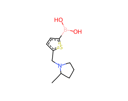 CC1CCCN1Cc1ccc(B(O)O)s1